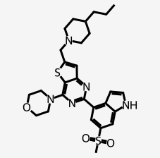 CCCC1CCN(Cc2cc3nc(-c4cc(S(C)(=O)=O)cc5[nH]ccc45)nc(N4CCOCC4)c3s2)CC1